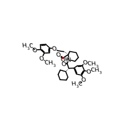 COc1ccc(OCC[C@]2(C(=O)O)CCCCN2C(=O)[C@H](c2cc(OC)c(OC)c(OC)c2)C2CCCCC2)cc1OC